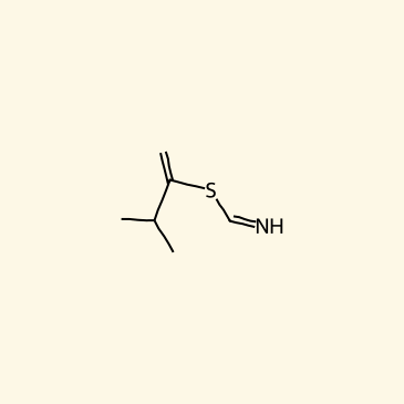 C=C(SC=N)C(C)C